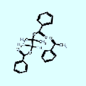 CC(=O)c1ccccc1.CC(C)(OC(=O)c1ccccc1)C(C)(C)OC(=O)c1ccccc1